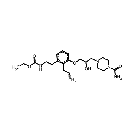 C=CCc1c(CCNC(=O)OCC)cccc1OCC(O)CN1CCN(C(N)=O)CC1